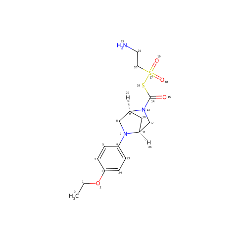 CCOc1ccc(N2C[C@@H]3C[C@H]2CN3C(=O)SS(=O)(=O)CCN)cc1